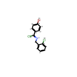 ClC(=NCc1ccccc1Cl)c1ccc(Br)cc1